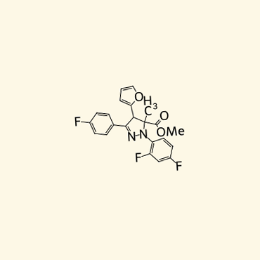 COC(=O)C1(C)C(c2ccco2)C(c2ccc(F)cc2)=NN1c1ccc(F)cc1F